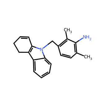 Cc1ccc(Cn2c3c(c4ccccc42)CCC=C3)c(C)c1N